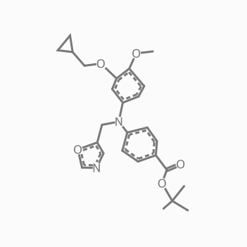 COc1ccc(N(Cc2cnco2)c2ccc(C(=O)OC(C)(C)C)cc2)cc1OCC1CC1